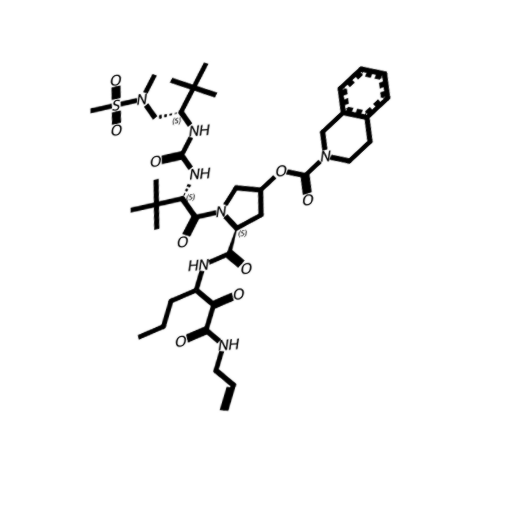 C=CCNC(=O)C(=O)C(CCC)NC(=O)[C@@H]1CC(OC(=O)N2CCc3ccccc3C2)CN1C(=O)[C@@H](NC(=O)N[C@H](CN(C)S(C)(=O)=O)C(C)(C)C)C(C)(C)C